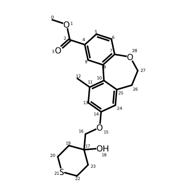 COC(=O)c1ccc2c(c1)-c1c(C)cc(OCC3(O)CCSCC3)cc1CCO2